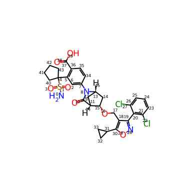 NS(=O)(=O)C1(c2cc(N3C(=O)[C@@H]4C[C@H]3C[C@H]4OCc3c(-c4c(Cl)cccc4Cl)noc3C3CC3)ccc2C(=O)O)CCCC1